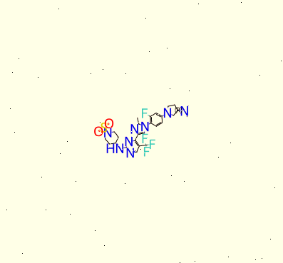 Cc1nc(-c2nc(NC3CCN(S(C)(=O)=O)CC3)ncc2C(F)(F)F)cn1-c1ccc(N2CC[C@@H](N(C)C)C2)cc1F